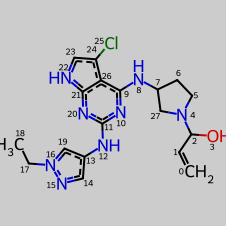 C=CC(O)N1CCC(Nc2nc(Nc3cnn(CC)c3)nc3[nH]cc(Cl)c23)C1